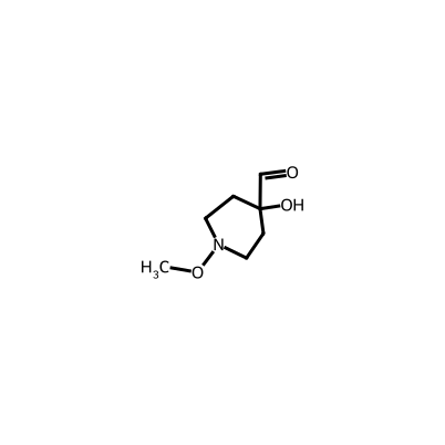 CON1CCC(O)(C=O)CC1